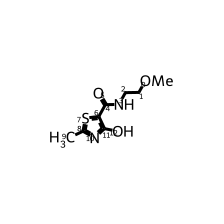 COCCNC(=O)c1sc(C)nc1O